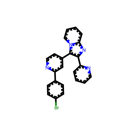 Brc1ccc(-c2cc(-c3c(-c4ccccn4)nc4ccccn34)ccn2)cc1